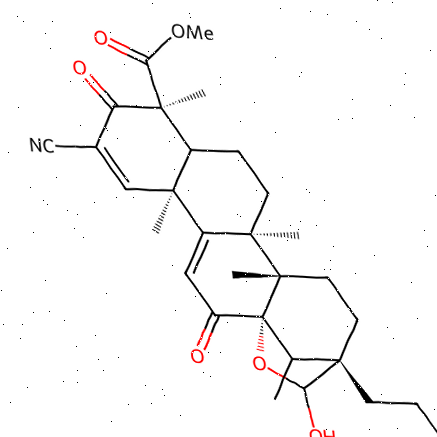 COC(=O)[C@]1(C)C(=O)C(C#N)=C[C@]2(C)C3=CC(=O)[C@@]45OC(O)[C@@](CCC(C)(C)C)(CC[C@@]4(C)[C@]3(C)CCC12)C5C